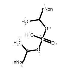 CCCCCCCCCC(C)OP(C)(=O)OC(C)CCCCCCCCC